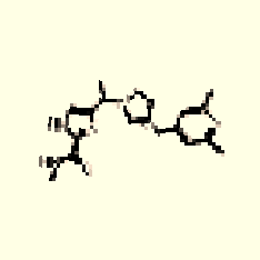 CNC(=O)c1nc(C(C)N2CC[C@@H](Cc3cc(C)nc(C)c3)C2)c[nH]1